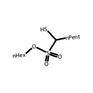 CCCCCCOS(=O)(=O)C(S)CCCCC